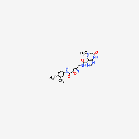 Cc1ccc(NC(=O)c2cc(CNC(=O)c3ncnc4c3CN(C)CC(=O)N4)no2)cc1C(F)(F)F